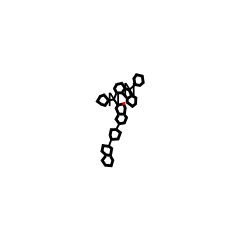 c1ccc(N(c2ccc3ccc(-c4ccc(-c5ccc6ccccc6c5)cc4)cc3c2)c2cccc3c2c2ccccc2n3-c2ccccc2)cc1